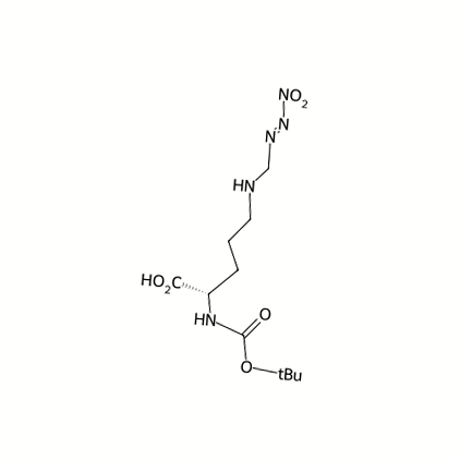 CC(C)(C)OC(=O)N[C@@H](CCCNCN=N[N+](=O)[O-])C(=O)O